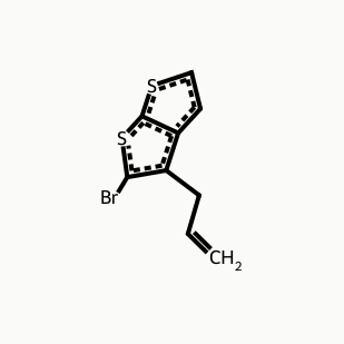 C=CCc1c(Br)sc2sccc12